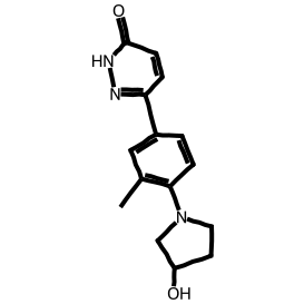 Cc1cc(-c2ccc(=O)[nH]n2)ccc1N1CCC(O)C1